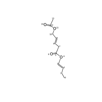 CCC=COC(=O)CC=CCOC(C)=O